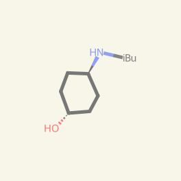 CCC(C)N[C@H]1CC[C@H](O)CC1